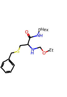 CCCCCCNC(=O)C(CSCc1ccccc1)NCOCC